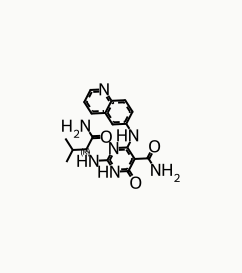 CC(C)[C@@H](Nc1nc(Nc2ccc3ncccc3c2)c(C(N)=O)c(=O)[nH]1)C(N)=O